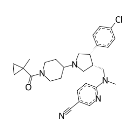 CN(C[C@@H]1CN(C2CCN(C(=O)C3(C)CC3)CC2)C[C@@H]1c1ccc(Cl)cc1)c1ccc(C#N)cn1